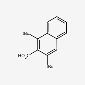 CC(C)(C)c1cc2ccccc2c(C(C)(C)C)c1C(=O)O